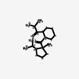 BC1(C(=O)N2CCCCC2C(=O)C(C)C)CCCN1C(C)C